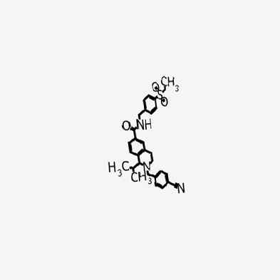 CCS(=O)(=O)c1ccc(CNC(=O)c2ccc3c(c2)CCN(Cc2ccc(C#N)cc2)C3C(C)C)cc1